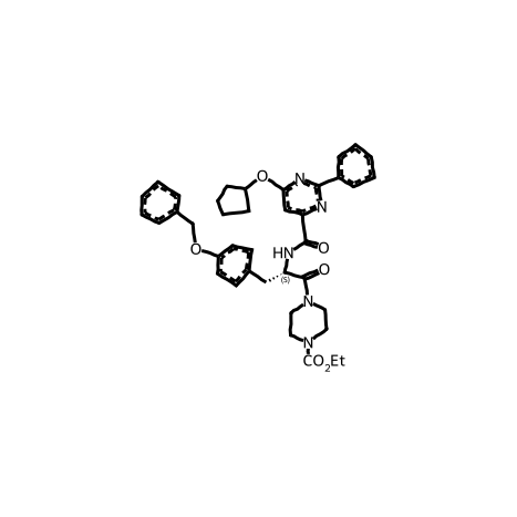 CCOC(=O)N1CCN(C(=O)[C@H](Cc2ccc(OCc3ccccc3)cc2)NC(=O)c2cc(OC3CCCC3)nc(-c3ccccc3)n2)CC1